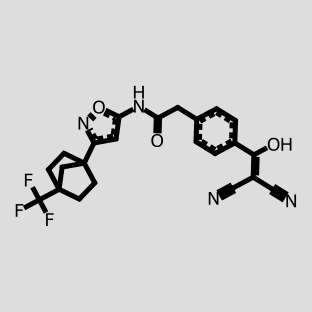 N#CC(C#N)=C(O)c1ccc(CC(=O)Nc2cc(C34CCC(C(F)(F)F)(CC3)C4)no2)cc1